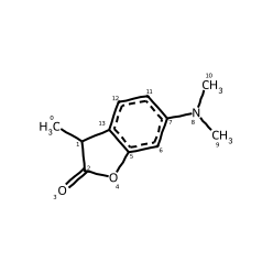 CC1C(=O)Oc2cc(N(C)C)ccc21